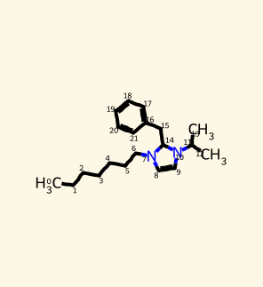 CCCCCCCN1C=CN(C(C)C)C1Cc1ccccc1